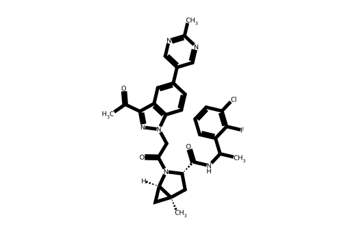 CC(=O)c1nn(CC(=O)N2[C@H](C(=O)NC(C)c3cccc(Cl)c3F)C[C@@]3(C)C[C@@H]23)c2ccc(-c3cnc(C)nc3)cc12